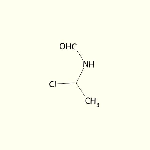 CC(Cl)NC=O